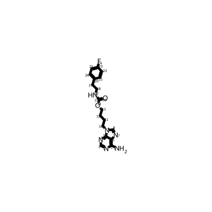 Nc1ncnc2c1ncn2CCCCOC(=O)NCCc1ccc(F)cc1